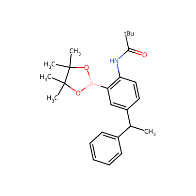 CC(c1ccccc1)c1ccc(NC(=O)C(C)(C)C)c(B2OC(C)(C)C(C)(C)O2)c1